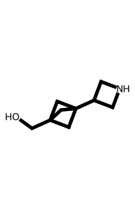 OCC12CC(C3CNC3)(C1)C2